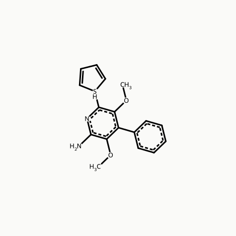 COc1c(N)nc([SH]2C=CC=C2)c(OC)c1-c1ccccc1